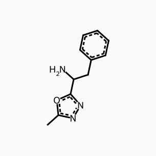 Cc1nnc(C(N)Cc2ccccc2)o1